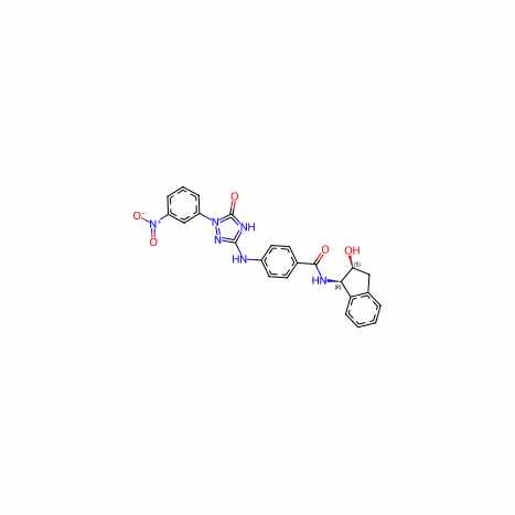 O=C(N[C@@H]1c2ccccc2C[C@@H]1O)c1ccc(Nc2nn(-c3cccc([N+](=O)[O-])c3)c(=O)[nH]2)cc1